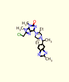 CC[C@H]1CN(C(C)c2ccc3ncc(C)nc3c2)[C@H](CC)CN1c1nc(=O)n(C)c2c1nc(CCl)n2C